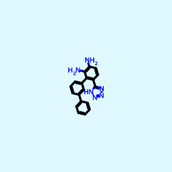 Nc1ccc(-c2nnn[nH]2)c(-c2cccc(-c3ccccc3)c2)c1N